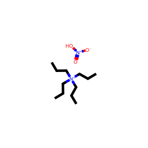 CCC[N+](CCC)(CCC)CCC.O=[N+]([O-])O